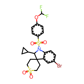 O=S1(=O)CCC2(CC1)c1cc(Br)ccc1N(S(=O)(=O)c1ccc(OC(F)F)cc1)C2C1CC1